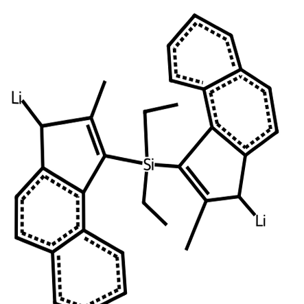 [Li][CH]1C(C)=C([Si](CC)(CC)C2=C(C)[CH]([Li])c3ccc4ccccc4c32)c2c1ccc1ccccc21